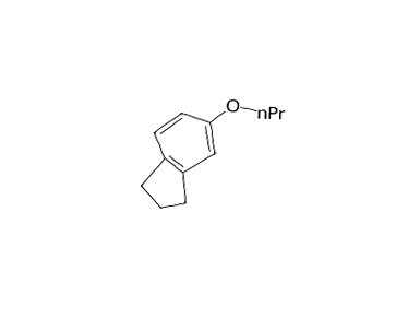 CCCOc1ccc2c(c1)CCC2